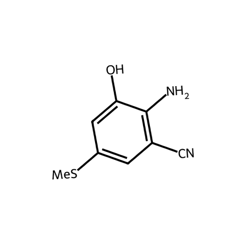 CSc1cc(O)c(N)c(C#N)c1